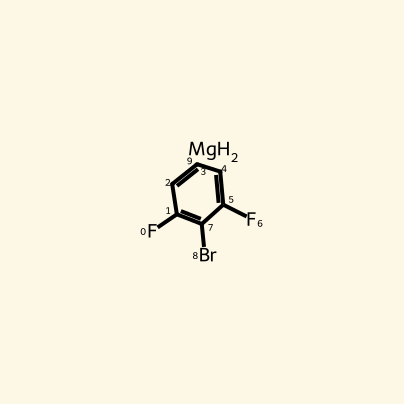 Fc1cccc(F)c1Br.[MgH2]